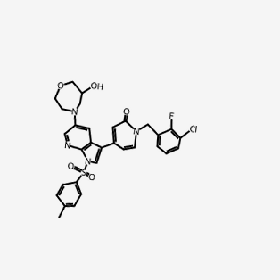 Cc1ccc(S(=O)(=O)n2cc(-c3ccn(Cc4cccc(Cl)c4F)c(=O)c3)c3cc(N4CCOCC(O)C4)cnc32)cc1